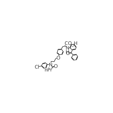 CCCC(=O)N(CCCOc1ccc(C[C@H](Nc2ccccc2C(=O)c2ccccc2)C(=O)O)cc1)c1ccc(Cl)cc1